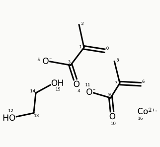 C=C(C)C(=O)[O-].C=C(C)C(=O)[O-].OCCO.[Co+2]